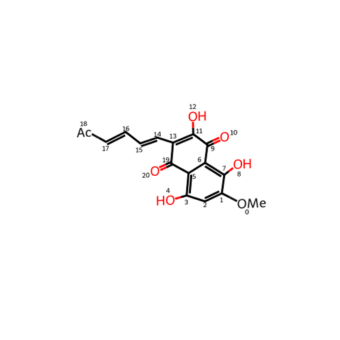 COc1cc(O)c2c(c1O)C(=O)C(O)=C(C=CC=CC(C)=O)C2=O